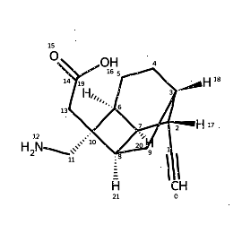 C#C[C@H]1[C@H]2CC[C@H]3[C@@H]1[C@@H](C2)[C@@]3(CN)CC(=O)O